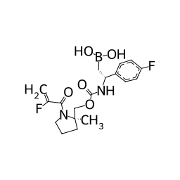 C=C(F)C(=O)N1CCC[C@]1(C)COC(=O)N[C@H](CB(O)O)c1ccc(F)cc1